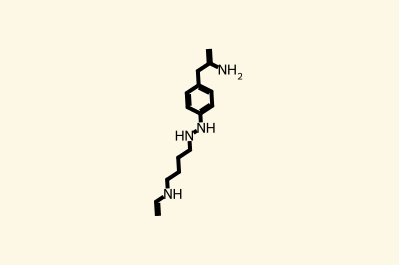 C=CNCCCCNNc1ccc(CC(=C)N)cc1